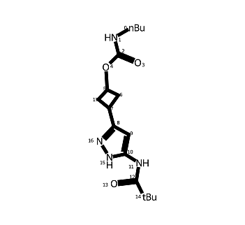 CCCCNC(=O)OC1CC(c2cc(NC(=O)C(C)(C)C)[nH]n2)C1